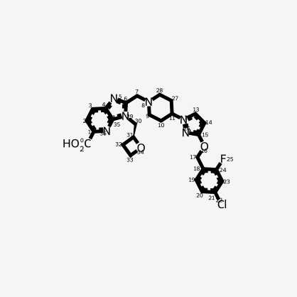 O=C(O)c1ccc2nc(CN3CCC(n4ccc(OCc5ccc(Cl)cc5F)n4)CC3)n(C[C@@H]3CCO3)c2n1